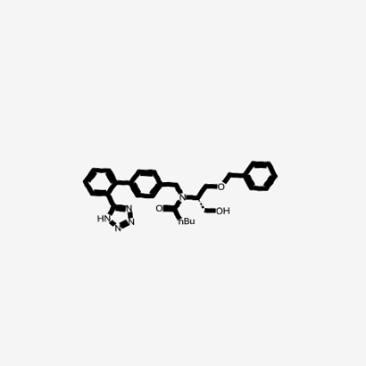 CCCCC(=O)N(Cc1ccc(-c2ccccc2-c2nnn[nH]2)cc1)[C@@H](CO)COCc1ccccc1